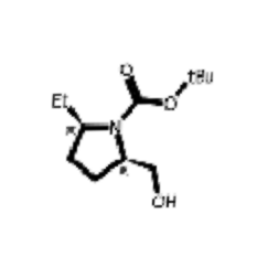 CC[C@@H]1CC[C@H](CO)N1C(=O)OC(C)(C)C